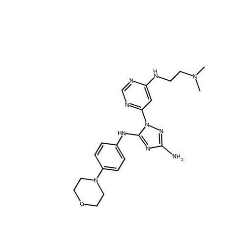 CN(C)CCNc1cc(-n2nc(N)nc2Nc2ccc(N3CCOCC3)cc2)ncn1